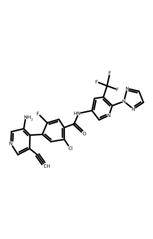 C#Cc1cncc(N)c1-c1cc(Cl)c(C(=O)Nc2cnc(-n3nccn3)c(C(F)(F)F)c2)cc1F